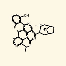 CC(C)c1ncnc(C(C)C)c1-n1c(=O)nc(C2CC3CCC(C[C@H]2C)N3)c2cnc(-c3c(O)cccc3F)c(F)c21